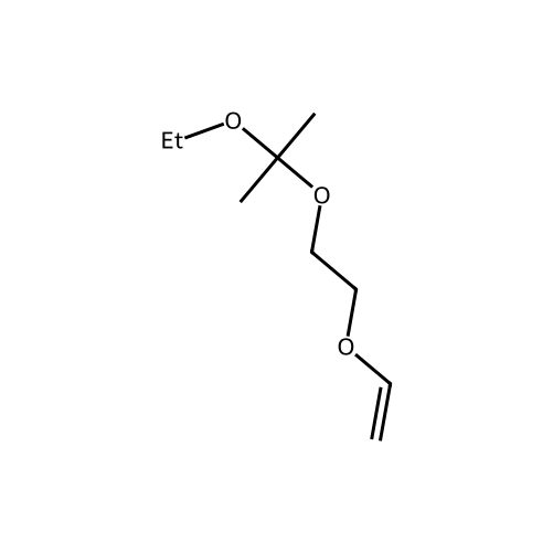 [CH2]COC(C)(C)OCCOC=C